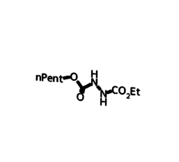 CCCCCOC(=O)NNC(=O)OCC